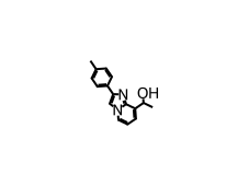 Cc1ccc(-c2cn3cccc(C(C)O)c3n2)cc1